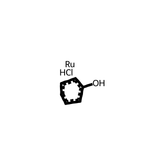 Cl.Oc1ccccc1.[Ru]